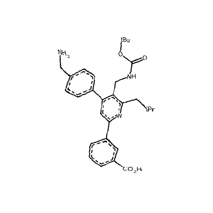 CC(C)Cc1nc(-c2cccc(C(=O)O)c2)cc(-c2ccc(CN)cc2)c1CNC(=O)OC(C)(C)C